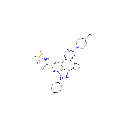 CS(=O)(=O)NC(=O)c1cc(-c2ccc(N3CCC(C#N)CC3)nc2)c2c(C3CCC3)nn(C3CCCCC3)c2n1